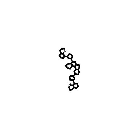 c1cc(-c2ccc3ccc4cc(-c5cccc(-c6cccc7cccnc67)c5)c5ccccc5c4c3c2)cc(-c2cccc3cccnc23)c1